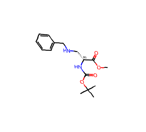 COC(=O)[C@@H](CNCc1ccccc1)NC(=O)OC(C)(C)C